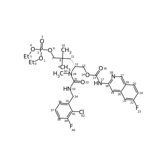 CCOP(=O)(OCC)OCC(C)(C)C[C@H](COC(=O)Nc1cc2cc(F)ccc2cn1)N(C)C(=O)NCc1cccc(F)c1Cl